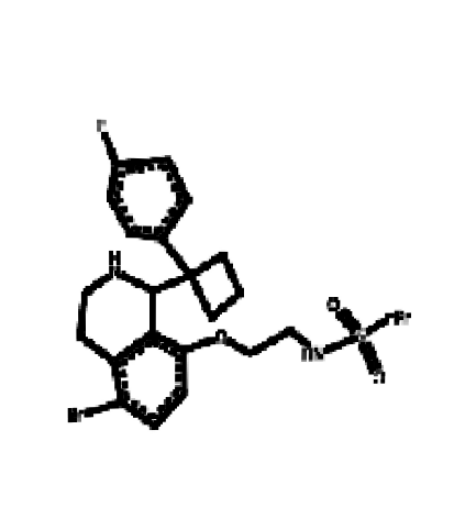 CCCS(=O)(=O)NCCOc1ccc(Br)c2c1C(C1(c3ccc(F)cc3)CCC1)NCC2